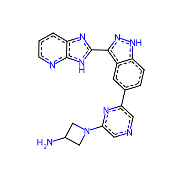 NC1CN(c2cncc(-c3ccc4[nH]nc(-c5nc6cccnc6[nH]5)c4c3)n2)C1